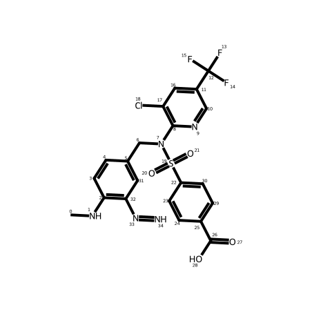 CNc1ccc(CN(c2ncc(C(F)(F)F)cc2Cl)S(=O)(=O)c2ccc(C(=O)O)cc2)cc1N=N